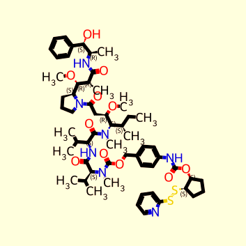 CC[C@H](C)[C@@H]([C@@H](CC(=O)N1CCC[C@H]1[C@H](OC)[C@@H](C)C(=O)N[C@H](C)[C@@H](O)c1ccccc1)OC)N(C)C(=O)[C@@H](NC(=O)[C@H](C(C)C)N(C)C(=O)OCc1ccc(NC(=O)O[C@H]2CCC[C@@H]2SSc2ccccn2)cc1)C(C)C